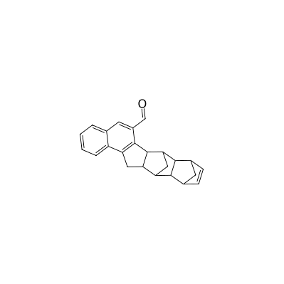 O=Cc1cc2ccccc2c2c1C1C(C2)C2CC1C1C3C=CC(C3)C21